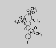 C=C1CN(S(C)(=O)=O)CCN(S(C)(=O)=O)c2nc3oc(-c4ccc(F)cc4)c(C(=O)NC)c3cc21